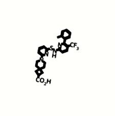 Cc1ccccc1-c1nc(NSc2cccc(N3CCC4(CC3)CC(C(=O)O)C4)n2)ccc1C(F)(F)F